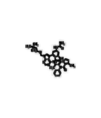 Cc1ccn2nc(C(C)Nc3ncnc4c3c(-c3cc(NC(N)=O)cc5[nH]ccc35)cn4COCC[Si](C)(C)C)n(-c3ccccc3)c(=O)c12